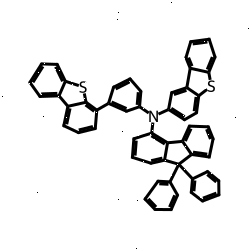 c1ccc(C2(c3ccccc3)c3ccccc3-c3c(N(c4cccc(-c5cccc6c5sc5ccccc56)c4)c4ccc5sc6ccccc6c5c4)cccc32)cc1